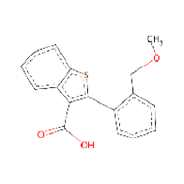 COCc1ccccc1-c1sc2ccccc2c1C(=O)O